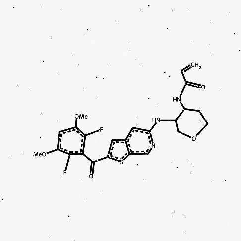 C=CC(=O)NC1CCOCC1Nc1cc2cc(C(=O)c3c(F)c(OC)cc(OC)c3F)sc2cn1